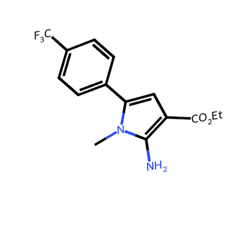 CCOC(=O)c1cc(-c2ccc(C(F)(F)F)cc2)n(C)c1N